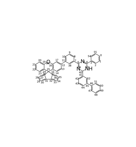 c1ccc(C2=NC(c3cccc(-c4ccc5c(c4)Oc4ccccc4C54c5ccccc5-c5ccccc54)c3)=NC(c3cccc(-c4ccccc4)c3)N2)cc1